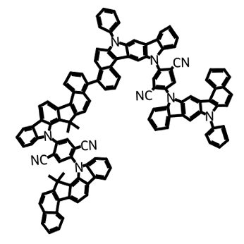 CC1(C)c2ccc3ccccc3c2-c2ccc3c4ccccc4n(-c4cc(C#N)c(-n5c6ccccc6c6ccc7c(c65)C(C)(C)c5ccc6c(-c8cccc9c8ccc8c9c9cc%10c(cc9n8-c8ccccc8)c8ccccc8n%10-c8cc(C#N)c(-n9c%10ccccc%10c%10cc%11c(cc%109)c9c%10ccccc%10ccc9n%11-c9ccccc9)cc8C#N)cccc6c5-7)cc4C#N)c3c21